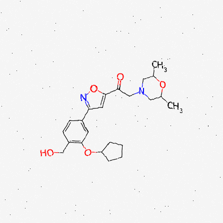 CC1CN(CC(=O)c2cc(-c3ccc(CO)c(OC4CCCC4)c3)no2)CC(C)O1